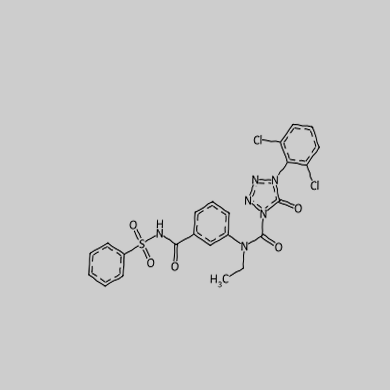 CCN(C(=O)n1nnn(-c2c(Cl)cccc2Cl)c1=O)c1cccc(C(=O)NS(=O)(=O)c2ccccc2)c1